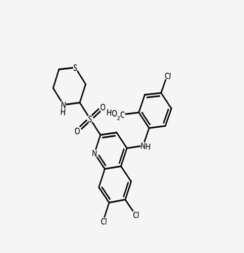 O=C(O)c1cc(Cl)ccc1Nc1cc(S(=O)(=O)C2CSCCN2)nc2cc(Cl)c(Cl)cc12